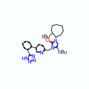 CCCCc1cn(C2CCCCCCC2C(C)(C)C)c(=O)n1Cc1ccc(-c2ccccc2-c2nnn[nH]2)cn1